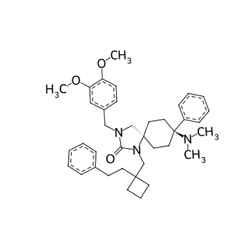 COc1ccc(CN2C[C@]3(CC[C@](c4ccccc4)(N(C)C)CC3)N(CC3(CCc4ccccc4)CCC3)C2=O)cc1OC